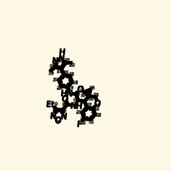 CCc1nonc1C(=O)N[C@H](C(=O)Nc1ccc(-c2c(C)n[nH]c2C)cc1)C1c2cc(F)ccc2OCC12CC2